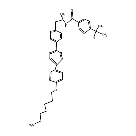 CCCCCCCOc1ccc(-c2cnc(-c3ccc(C[C@@H](C)NC(=O)c4ccc(C(C)(C)C)cc4)cc3)nc2)cc1